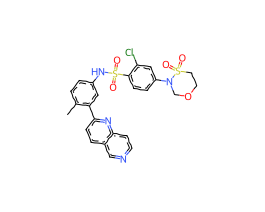 Cc1ccc(NS(=O)(=O)c2ccc(N3COCCS3(=O)=O)cc2Cl)cc1-c1ccc2cnccc2n1